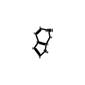 C1=CC2=C(CNC=C2)[N]1